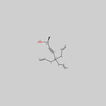 C=CC[Si](C#C[C@H](C)O)(CC=C)CC=C